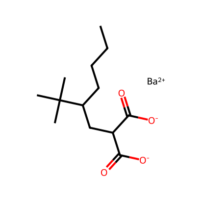 CCCCC(CC(C(=O)[O-])C(=O)[O-])C(C)(C)C.[Ba+2]